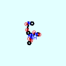 CN(C(=O)CCCOc1ccc2c(c1)CN(CC(=O)N1CCOCC1)C(NC(=O)Oc1ccccc1)=N2)C1CCCCC1